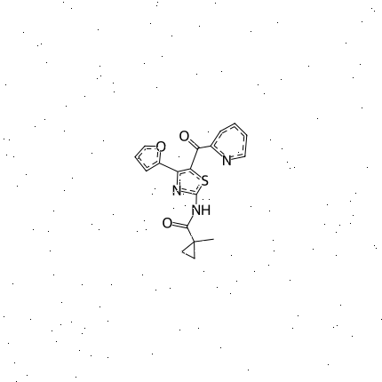 CC1(C(=O)Nc2nc(-c3ccco3)c(C(=O)c3ccccn3)s2)CC1